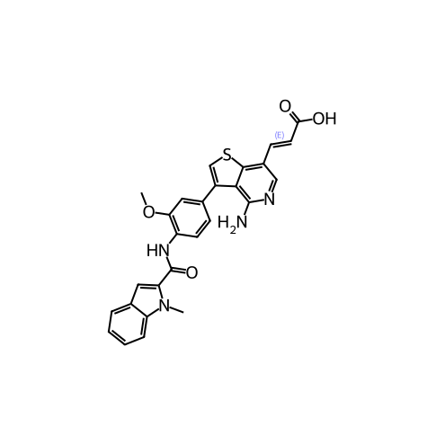 COc1cc(-c2csc3c(/C=C/C(=O)O)cnc(N)c23)ccc1NC(=O)c1cc2ccccc2n1C